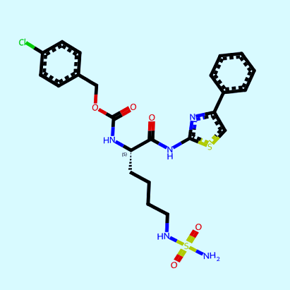 NS(=O)(=O)NCCCC[C@H](NC(=O)OCc1ccc(Cl)cc1)C(=O)Nc1nc(-c2ccccc2)cs1